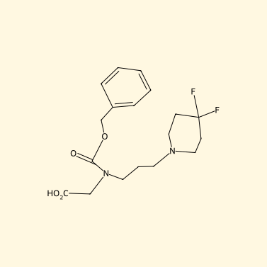 O=C(O)CN(CCCN1CCC(F)(F)CC1)C(=O)OCc1ccccc1